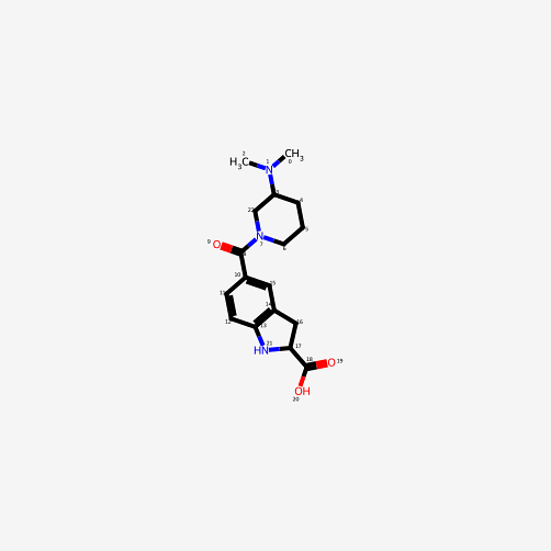 CN(C)C1CCCN(C(=O)c2ccc3c(c2)CC(C(=O)O)N3)C1